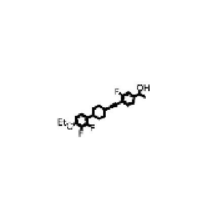 CCOc1ccc(C2CCC(C#Cc3ccc(C(C)O)cc3F)CC2)c(F)c1F